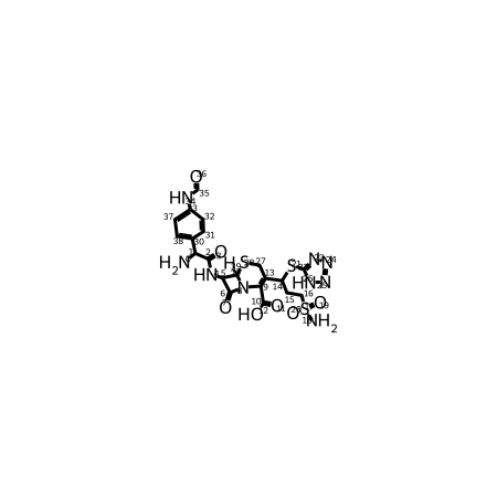 NC(C(=O)NC1C(=O)N2C(C(=O)O)=C(C(CCS(N)(=O)=O)Sc3nnn[nH]3)CS[C@@H]12)c1ccc(NC=O)cc1